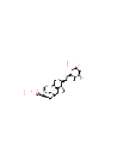 C=C1/C(=C\C=C2CCC[C@@]3(C)C2CC[C@@H]3[C@](C)(CC#CC(O)(C(F)(F)F)C(F)(F)F)CCCC(C)C)C[C@@H](O)[C@H](O)[C@H]1F